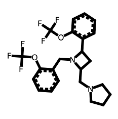 FC(F)(F)Oc1ccccc1CN1C(CN2CCCC2)CC1c1ccccc1OC(F)(F)F